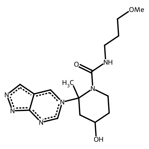 COCCCNC(=O)N1CCC(O)CC1(C)n1cnc2nncc-2c1